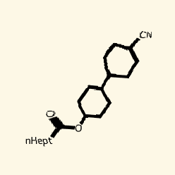 CCCCCCCC(=O)OC1CCC(C2CCC(C#N)CC2)CC1